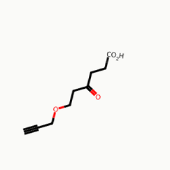 C#CCOCCC(=O)CCC(=O)O